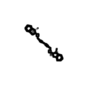 C[C@H]1c2ccccc2CC1OCC#CC#CCO[C@@H]1Cc2ccccc2[C@@H]1C